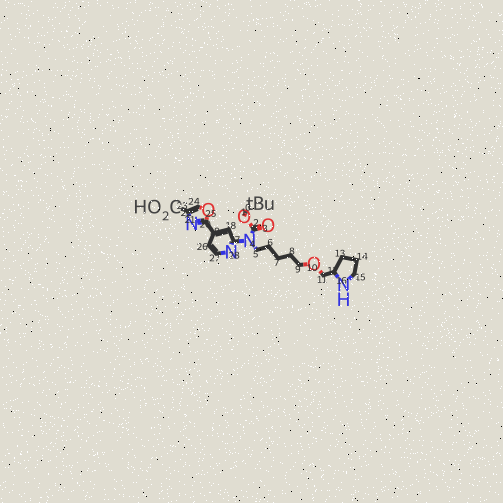 CC(C)(C)OC(=O)N(CCCCCOCC1CCCN1)c1cc(-c2nc(C(=O)O)co2)ccn1